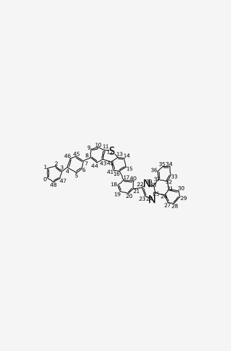 c1ccc(-c2ccc(-c3ccc4sc5ccc(-c6cccc(-c7cnc8c9ccccc9c9ccccc9c8n7)c6)cc5c4c3)cc2)cc1